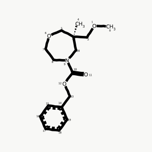 COC[C@]1(C)COCCN(C(=O)OCc2ccccc2)C1